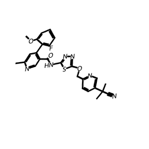 COc1cccc(F)c1-c1cc(C)ncc1C(=O)Nc1nnc(OCc2ccc(C(C)(C)C#N)cn2)s1